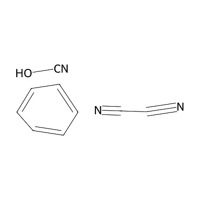 N#CC#N.N#CO.c1ccccc1